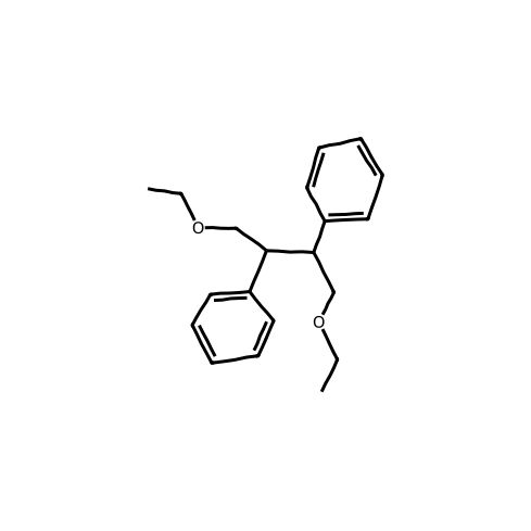 CCOCC(c1ccccc1)C(COCC)c1ccccc1